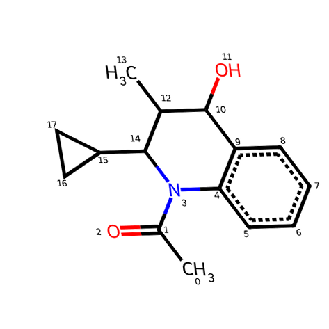 CC(=O)N1c2ccccc2C(O)C(C)C1C1CC1